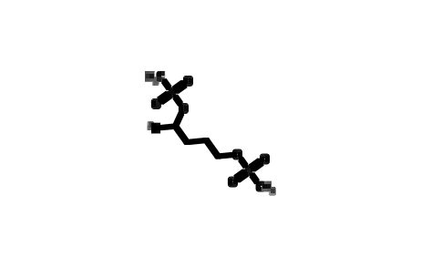 [2H]C(CCCOS(C)(=O)=O)OS(C)(=O)=O